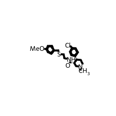 COc1ccc(CSCCNC(=O)[C@H]2CN(C)CC[C@H]2c2ccc(Cl)cc2)cc1